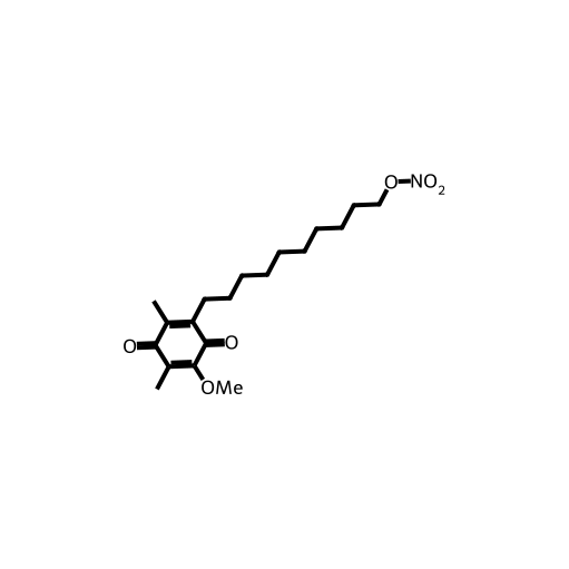 COC1=C(C)C(=O)C(C)=C(CCCCCCCCCCO[N+](=O)[O-])C1=O